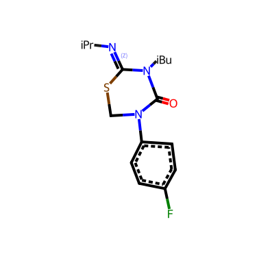 CCC(C)N1C(=O)N(c2ccc(F)cc2)CS/C1=N\C(C)C